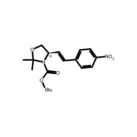 CC(C)(C)OC(=O)N1[C@H](C=Cc2ccc([N+](=O)[O-])cc2)COC1(C)C